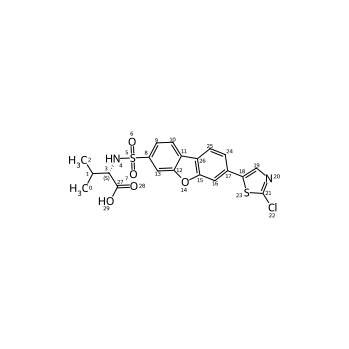 CC(C)[C@H](NS(=O)(=O)c1ccc2c(c1)oc1cc(-c3cnc(Cl)s3)ccc12)C(=O)O